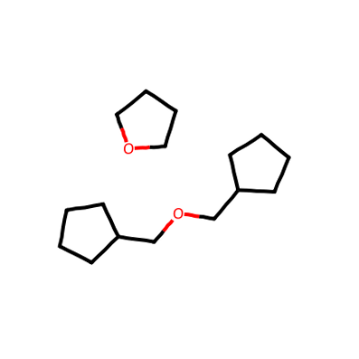 C1CCC(COCC2CCCC2)C1.C1CCOC1